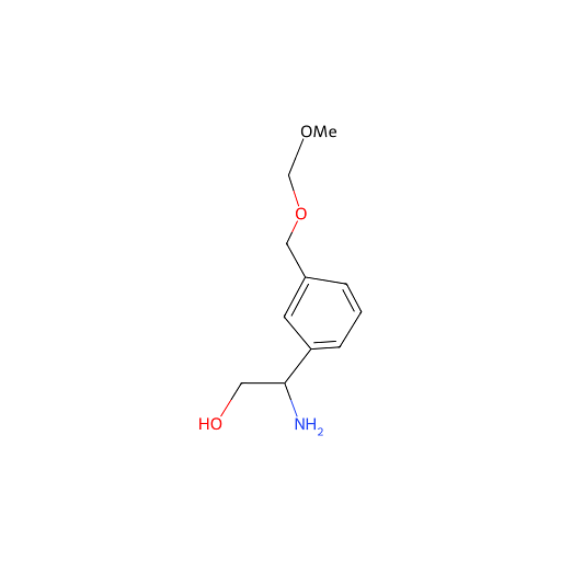 COCOCc1cccc(C(N)CO)c1